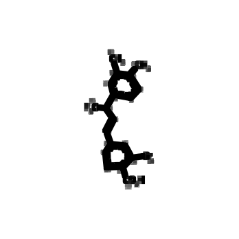 Cc1ccc(C(/C=C/c2ccc(C(=O)O)c(Br)c2)C(F)(F)F)cc1C